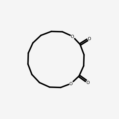 O=C1CCC(=O)OCCCCCCCCCCO1